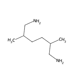 CC(CN)CCC(C)CN